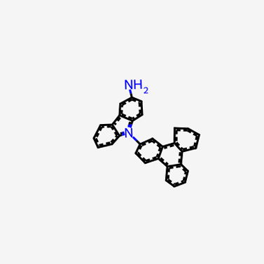 Nc1ccc2c(c1)c1ccccc1n2-c1ccc2c3ccccc3c3ccccc3c2c1